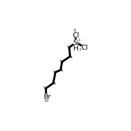 Cl[SiH](Cl)CCCCCCCBr